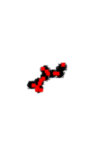 C1=CCC(N2c3ccccc3C3CC(C4=Cc5c6c(n(C7CCC(c8cccc9c8SC8CCC=CC98)CC7)c5CC4)C=CCC6)=CCC32)C=C1